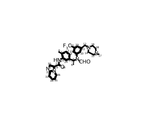 Cc1ccc([C@H](C)N(C=O)c2cc(CN3CCN(C)CC3)cc(C(F)(F)F)c2)cc1NC(=O)c1cnc2ccccn12